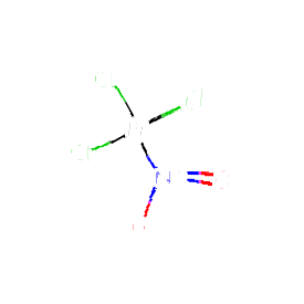 O=[N+]([O-])[Pt]([Cl])([Cl])[Cl]